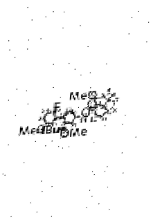 COC(=O)C1CCC12CCc1ccc(OCc3ccc(-c4cc(OC)ccc4F)c([C@H](OC)C(C)(C)C)c3)cc12